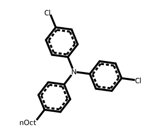 CCCCCCCCc1ccc(N(c2ccc(Cl)cc2)c2ccc(Cl)cc2)cc1